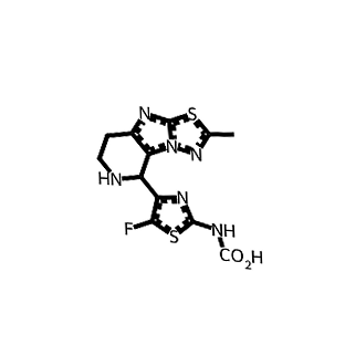 Cc1nn2c3c(nc2s1)CCNC3c1nc(NC(=O)O)sc1F